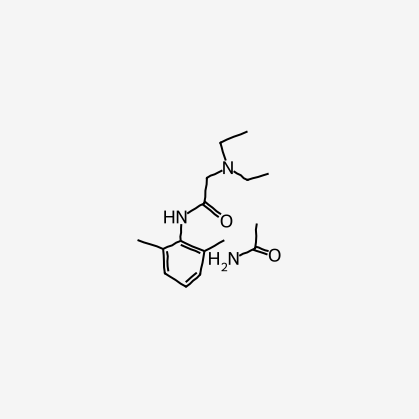 CC(N)=O.CCN(CC)CC(=O)Nc1c(C)cccc1C